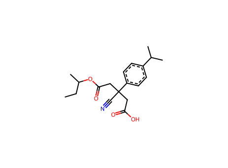 CCC(C)OC(=O)CC(C#N)(CC(=O)O)c1ccc(C(C)C)cc1